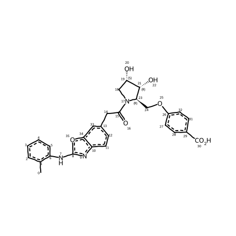 Cc1ccccc1Nc1nc2ccc(CC(=O)N3C[C@H](O)[C@H](O)[C@H]3COc3ccc(C(=O)O)cc3)cc2o1